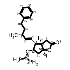 C[C@@H](/C=C/[C@@H]1[C@H]2CC(=O)O[C@H]2C[C@H]1OB(P)P)CCc1ccccc1